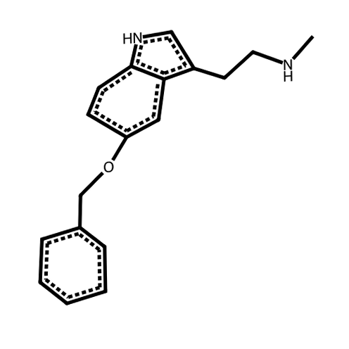 CNCCc1c[nH]c2ccc(OCc3ccccc3)cc12